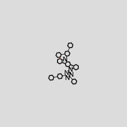 c1ccc(-c2ccc(-c3nc(-c4ccccc4)nc(-n4c5ccccc5c5cc6c(cc54)c4ccccc4n6-c4ccc(-c5ccccc5)cc4-c4ccccc4)n3)cc2)cc1